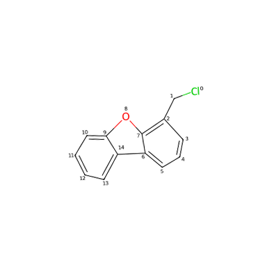 ClCc1cccc2c1oc1ccccc12